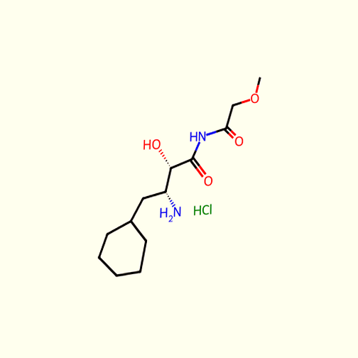 COCC(=O)NC(=O)[C@@H](O)[C@H](N)CC1CCCCC1.Cl